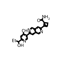 CCC(O)c1cc(C)c(-c2cc3cnc(C4C5CC4(C(N)=O)C5)cc3cn2)cn1